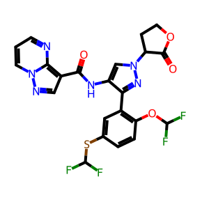 O=C(Nc1cn(C2CCOC2=O)nc1-c1cc(SC(F)F)ccc1OC(F)F)c1cnn2cccnc12